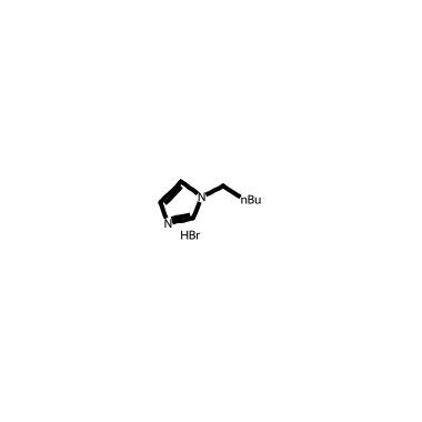 Br.CCCCCn1ccnc1